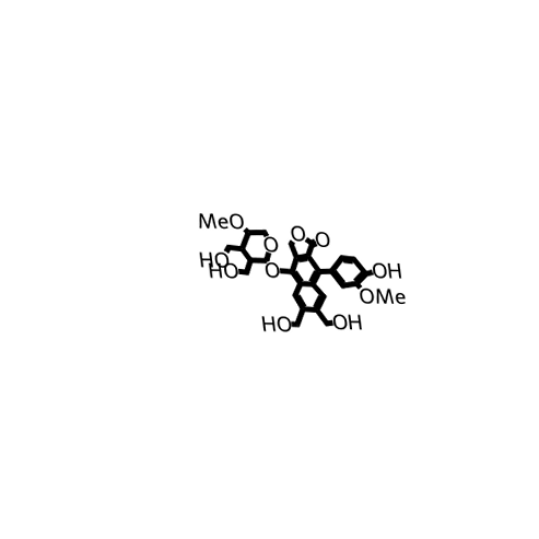 COc1cc(-c2c3c(c(OC4OCC(OC)C(CO)C4CO)c4cc(CO)c(CO)cc24)COC3=O)ccc1O